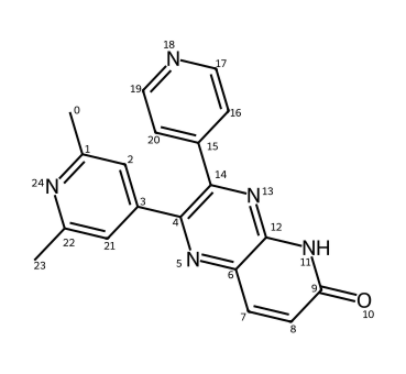 Cc1cc(-c2nc3ccc(=O)[nH]c3nc2-c2ccncc2)cc(C)n1